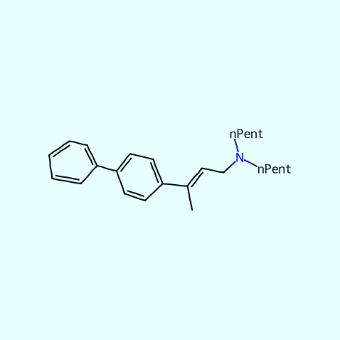 CCCCCN(CC=C(C)c1ccc(-c2ccccc2)cc1)CCCCC